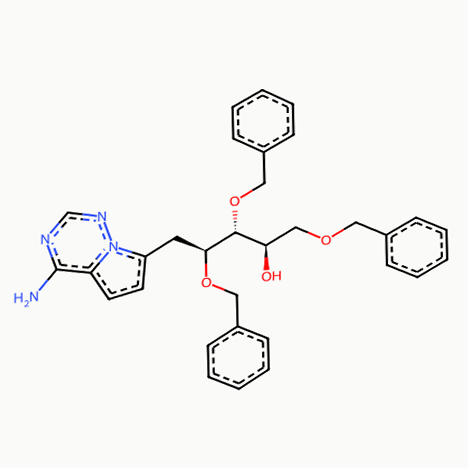 Nc1ncnn2c(C[C@H](OCc3ccccc3)[C@H](OCc3ccccc3)[C@H](O)COCc3ccccc3)ccc12